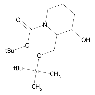 CC(C)(C)OC(=O)N1CCCC(O)C1CO[Si](C)(C)C(C)(C)C